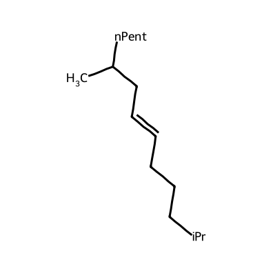 CCCCCC(C)CC=CCCCC(C)C